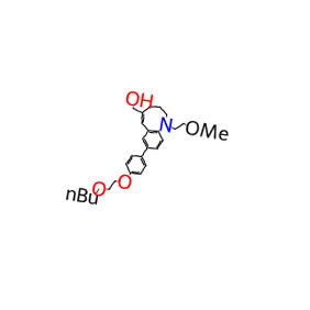 CCCCOCCOc1ccc(-c2ccc3c(c2)/C=C(/CO)CCCN3CCOC)cc1